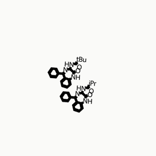 CC(C)(C)C(=O)NC1N=C(c2ccccc2)c2ccccc2NC1=O.CC(C)C(=O)NC1N=C(c2ccccc2)c2ccccc2NC1=O